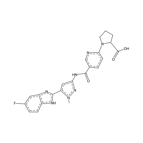 Cn1nc(NC(=O)c2ccc(N3CCCC3C(=O)O)nc2)cc1-c1nc2cc(F)ccc2[nH]1